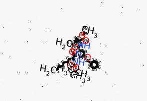 C=CCCCCC[C@H](NC(=O)OC(C)(C)C)C(=O)N1C[C@H](OCc2ccccc2)C[C@H]1C(=O)N[C@]1(C(=O)OCC)C[C@H]1C=C